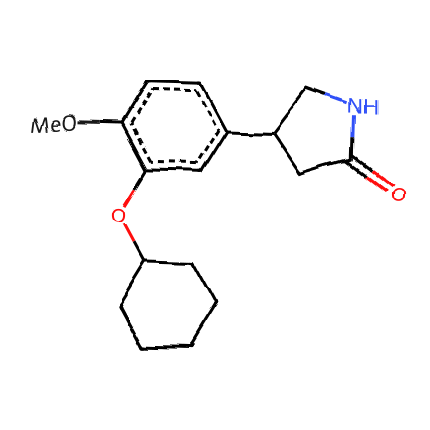 COc1ccc(C2CNC(=O)C2)cc1OC1CCCCC1